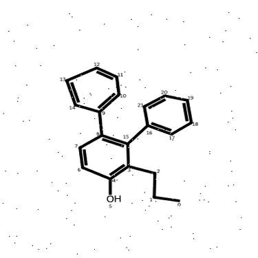 CCCc1c(O)ccc(-c2ccccc2)c1-c1ccccc1